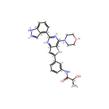 C[C@H](O)C(=O)Nc1cccc(-c2cc3nc(-c4cccc5[nH]ncc45)nc(N4CCOCC4)c3s2)c1